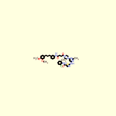 COc1ccc(CCCc2cccc(NC(=O)CCC(=O)N3CCN(c4cc(Nc5ncc(C(=O)Nc6c(C)cccc6Cl)s5)nc(C)n4)CC3)c2)cc1OC